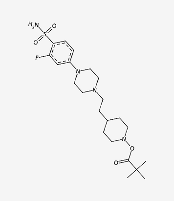 CC(C)(C)C(=O)ON1CCC(CCN2CCN(c3ccc(S(N)(=O)=O)c(F)c3)CC2)CC1